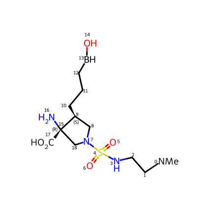 CNCCNS(=O)(=O)N1C[C@H](CCCBO)[C@](N)(C(=O)O)C1